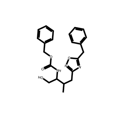 CC(Cc1noc(Cc2ccccc2)n1)C(CO)NC(=O)OCc1ccccc1